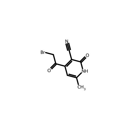 Cc1cc(C(=O)CBr)c(C#N)c(=O)[nH]1